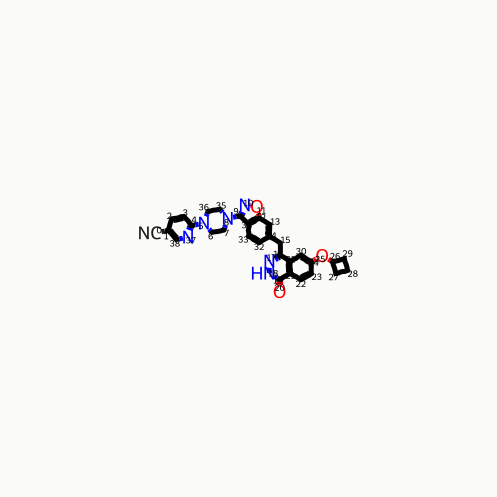 N#Cc1ccc(N2CCN(c3noc4cc(Cc5n[nH]c(=O)c6ccc(OC7CCC7)cc56)ccc34)CC2)nc1